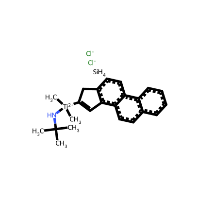 CC(C)(C)[NH][Ti+2]([CH3])([CH3])[C]1=Cc2c(ccc3c2ccc2ccccc23)C1.[Cl-].[Cl-].[SiH4]